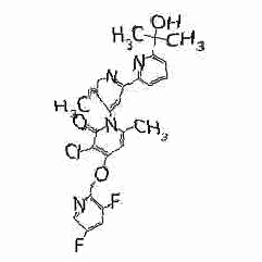 Cc1cc(OCc2ncc(F)cc2F)c(Cl)c(=O)n1C1=CC(c2cccc(C(C)(C)O)n2)=NC[C@H]1C